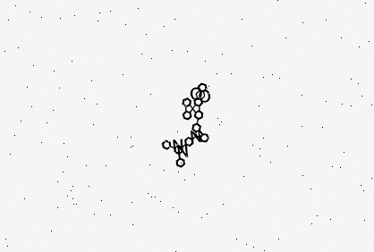 c1ccc(-c2cc(-c3ccccc3)nc(-c3ccc(-n4c5ccccc5c5cc(-c6ccc7c(c6)C6(c8ccccc8-c8ccccc86)c6cc8c(cc6-7)Oc6ccccc6O8)ccc54)cc3)n2)cc1